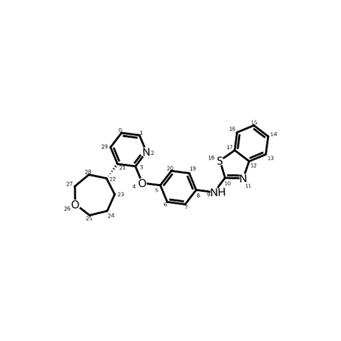 c1cnc(Oc2ccc(Nc3nc4ccccc4s3)cc2)c([C@@H]2CCCOCC2)c1